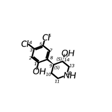 Oc1cc(Cl)c(Cl)cc1[C@@H]1CCNC[C@H]1O